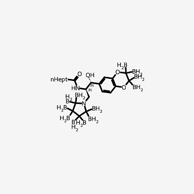 BC1(B)Oc2ccc([C@@H](O)[C@@H](CN3C(B)(B)C(B)(B)C(B)(B)C3(B)B)NC(=O)CCCCCCC)cc2OC1(B)B